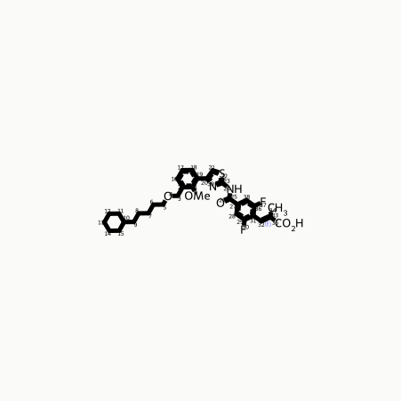 COc1c(COCCCCCC2CCCCC2)cccc1-c1csc(NC(=O)c2cc(F)c(/C=C(\C)C(=O)O)c(F)c2)n1